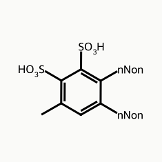 CCCCCCCCCc1cc(C)c(S(=O)(=O)O)c(S(=O)(=O)O)c1CCCCCCCCC